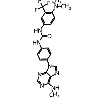 CNc1ncnc2c1ncn2-c1ccc(NC(=O)Nc2ccc(N(C)C)c(C(F)(F)F)c2)cc1